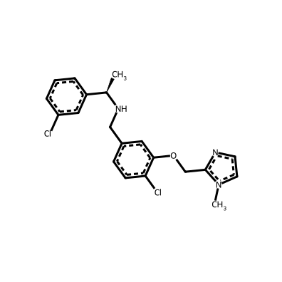 C[C@@H](NCc1ccc(Cl)c(OCc2nccn2C)c1)c1cccc(Cl)c1